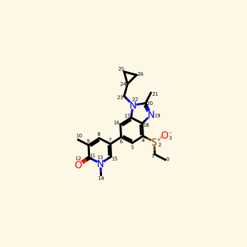 CC[S+]([O-])c1cc(-c2cc(C)c(=O)n(C)c2)cc2c1nc(C)n2CC1CC1